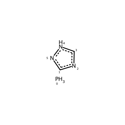 P.c1nc[nH]n1